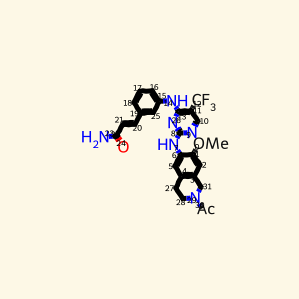 COc1cc2c(cc1Nc1ncc(C(F)(F)F)c(Nc3cccc(C=CC(N)=O)c3)n1)CCN(C(C)=O)C2